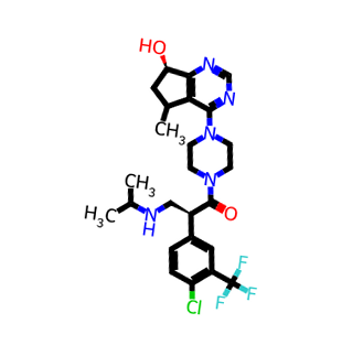 CC(C)NC[C@@H](C(=O)N1CCN(c2ncnc3c2C(C)C[C@H]3O)CC1)c1ccc(Cl)c(C(F)(F)F)c1